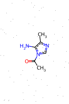 CC(=O)n1cnc(C)c1N